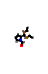 CCSC(SCC)[C@H]1CCCN1C=O